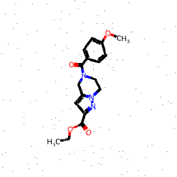 CCOC(=O)c1cc2n(n1)CCN(C(=O)c1ccc(OC)cc1)C2